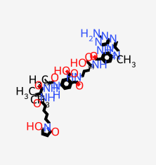 CC(C)[C@H](NC(=O)CCCCCN1C(=O)C=CC1O)C(=O)N[C@@H](C)C(=O)Nc1ccc(C(=O)NCCC[C@H](NC(=O)c2ccc(N(C)Cc3cnc4nc(N)nc(N)c4n3)cc2)C(=O)O)c(C(=O)O)c1